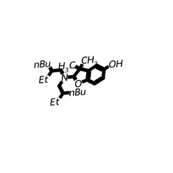 CCCCC(CC)CN(CC(CC)CCCC)C1Oc2ccc(O)cc2C1(C)C